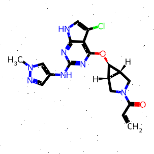 C=CC(=O)N1C[C@@H]2[C@H](C1)[C@H]2Oc1nc(Nc2cnn(C)c2)nc2[nH]cc(Cl)c12